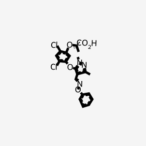 Cc1nn(C)c(Oc2cc(O[C@@H](C)C(=O)O)c(Cl)cc2Cl)c1C=NOc1ccccc1